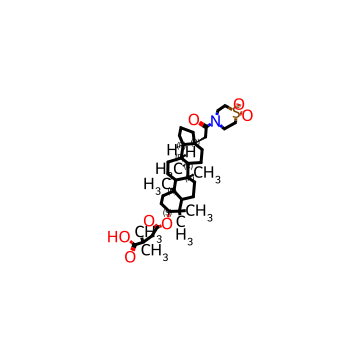 CC(C)(CC(=O)O[C@H]1CC[C@@]2(C)C(CC[C@]3(C)C2CC[C@@H]2[C@H]4CCC[C@]4(CC(=O)N4CCS(=O)(=O)CC4)CC[C@]23C)C1(C)C)C(=O)O